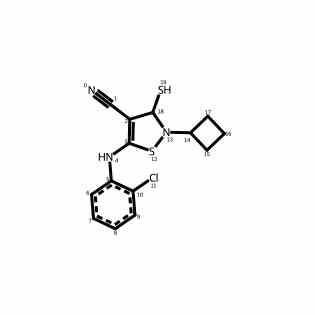 N#CC1=C(Nc2ccccc2Cl)SN(C2CCC2)C1S